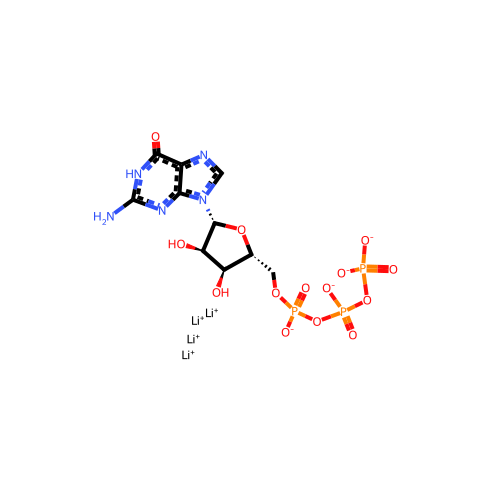 Nc1nc2c(ncn2[C@@H]2O[C@H](COP(=O)([O-])OP(=O)([O-])OP(=O)([O-])[O-])[C@@H](O)[C@H]2O)c(=O)[nH]1.[Li+].[Li+].[Li+].[Li+]